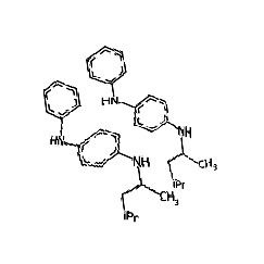 CC(C)CC(C)Nc1ccc(Nc2ccccc2)cc1.CC(C)CC(C)Nc1ccc(Nc2ccccc2)cc1